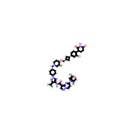 O=C1CCC(c2ccc([C@H]3C[C@H](CO[C@H]4CCN(C[C@H]5CC[C@H](n6cc(NC(=O)c7cnn8ccc(N9C[C@H]%10C[C@@H]9CO%10)nc78)c(C(F)F)n6)CC5)C[C@H]4F)C3)cc2Cl)C(=O)N1